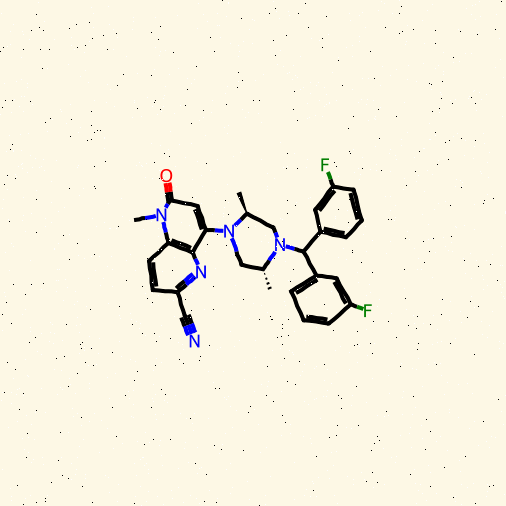 C[C@@H]1CN(c2cc(=O)n(C)c3ccc(C#N)nc23)[C@@H](C)CN1C(c1cccc(F)c1)c1cccc(F)c1